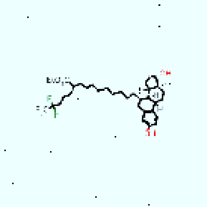 CCOC(=O)C(CCCCCCCCC[C@@H]1Cc2cc(O)ccc2[C@H]2CC[C@]3(C)[C@@H](O)CC[C@H]3[C@H]12)CCCC(F)(F)C(F)(F)F